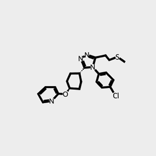 CSCCc1nnc([C@H]2CC[C@H](Oc3ccccn3)CC2)n1-c1ccc(Cl)cc1